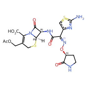 CC(=O)OCC1=C(C(=O)O)N2C(=O)[C@@H](NC(=O)/C(=N\O[C@H]3CCNC3=O)c3csc(N)n3)[C@H]2SC1